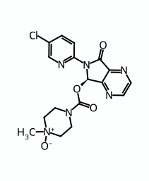 C[N+]1([O-])CCN(C(=O)O[C@@H]2c3nccnc3C(=O)N2c2ccc(Cl)cn2)CC1